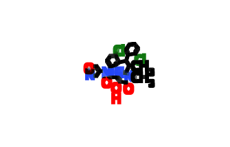 CC(c1nc(C(=O)Nc2cnoc2)c(O)c(=O)n1C)C(c1ccccc1Cl)c1ccccc1Cl